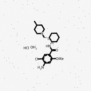 COc1cc(N)c(Cl)cc1C(=O)N[C@H]1CCCC[C@H]1CN1CCC(C)CC1.Cl.O